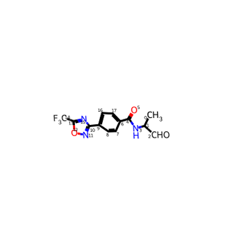 CC(C=O)NC(=O)c1ccc(-c2noc(C(F)(F)F)n2)cc1